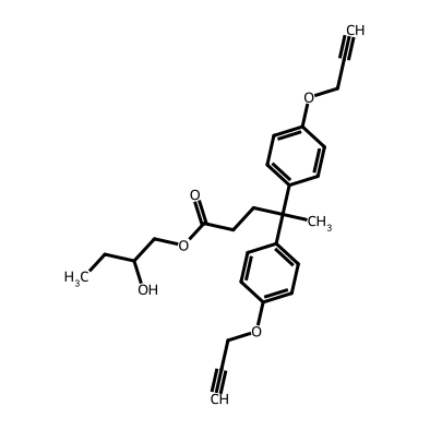 C#CCOc1ccc(C(C)(CCC(=O)OCC(O)CC)c2ccc(OCC#C)cc2)cc1